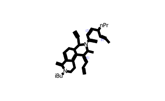 C#CC1C2CC=C3C(=C)N(C(C)CC)CCC3=C2/C(=C\C=C)C(C)N1C(=C)/C=C\C(/C=C/C)CCC